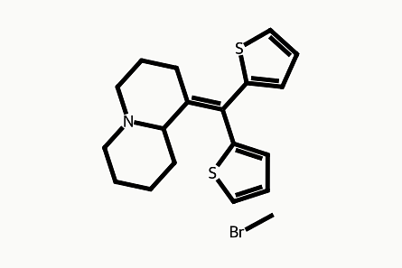 CBr.c1csc(C(=C2CCCN3CCCCC23)c2cccs2)c1